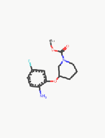 CC(C)(C)OC(=O)N1CCCC(Oc2cc(F)ccc2N)C1